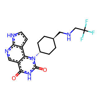 O=c1[nH]c(=O)n([C@H]2CC[C@H](CNCC(F)(F)F)CC2)c2c1cnc1[nH]ccc12